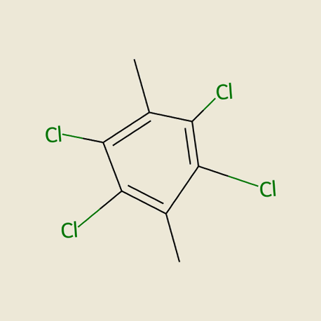 Cc1c(Cl)c(Cl)c(C)c(Cl)c1Cl